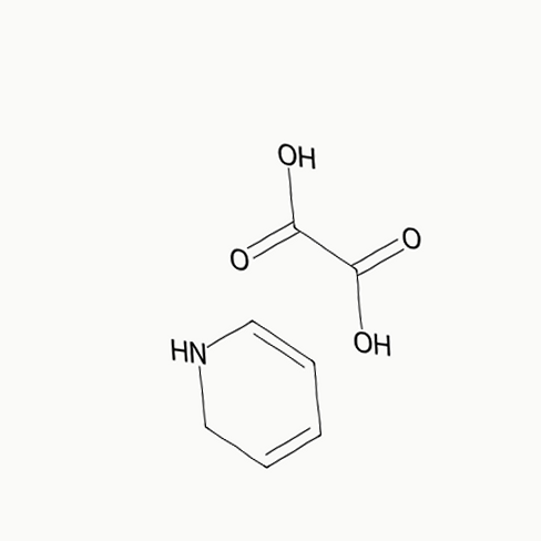 C1=CCNC=C1.O=C(O)C(=O)O